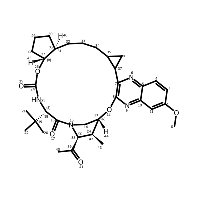 COc1ccc2nc3c(nc2c1)O[C@H]1CN(C(=O)[C@H](C(C)(C)C)NC(=O)O[C@@H]2CCC[C@H]2CCCC2CC32)[C@H](C(C)=O)[C@@H]1C